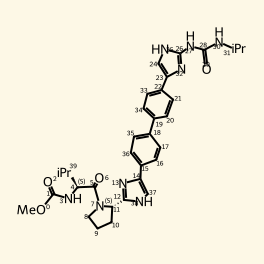 COC(=O)N[C@H](C(=O)N1CCC[C@H]1c1nc(-c2ccc(-c3ccc(-c4c[nH]c(NC(=O)NC(C)C)n4)cc3)cc2)c[nH]1)C(C)C